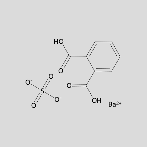 O=C(O)c1ccccc1C(=O)O.O=S(=O)([O-])[O-].[Ba+2]